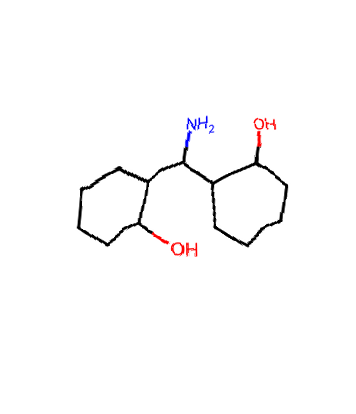 NC(C1CCCCC1O)C1CCCCC1O